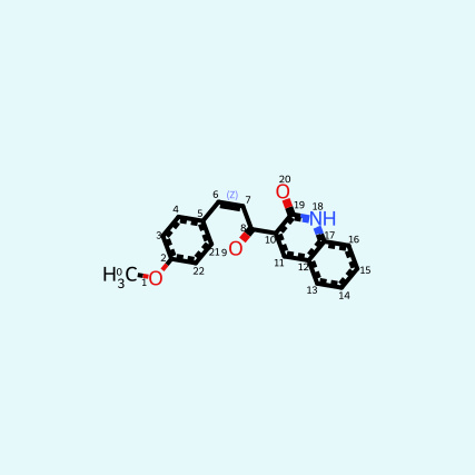 COc1ccc(/C=C\C(=O)c2cc3ccccc3[nH]c2=O)cc1